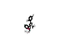 CC(=O)N1N=C(c2cc(F)ccc2F)C[C@@]1(C[C@H](F)CN)c1ccccc1